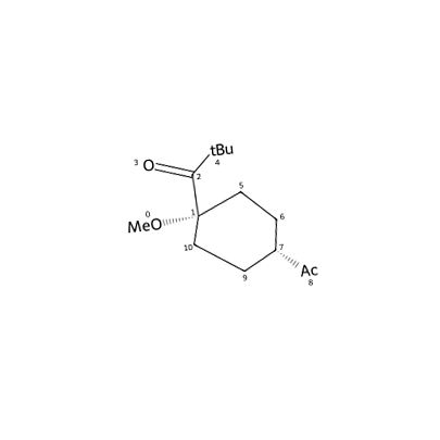 CO[C@]1(C(=O)C(C)(C)C)CC[C@H](C(C)=O)CC1